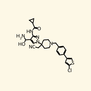 N#CCC1(n2cc(C(N)O)c(NC(=O)C3CC3)n2)CCN(Cc2ccc(-c3csc(Cl)c3)cc2)CC1